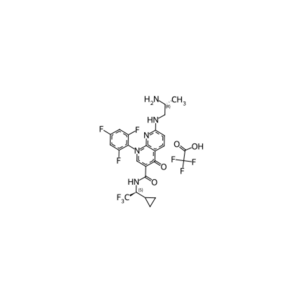 C[C@@H](N)CNc1ccc2c(=O)c(C(=O)N[C@@H](C3CC3)C(F)(F)F)cn(-c3c(F)cc(F)cc3F)c2n1.O=C(O)C(F)(F)F